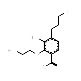 CCCCc1ccc(C(N)=O)c(OCCC)c1C